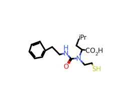 CC(C)CC(C(=O)O)N(CCS)C(=O)NCCc1ccccc1